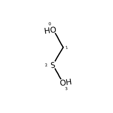 OCSO